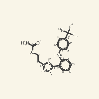 NC(=O)OCCn1nnc(-c2ccccc2Nc2ccc(C(F)(F)F)cc2)n1